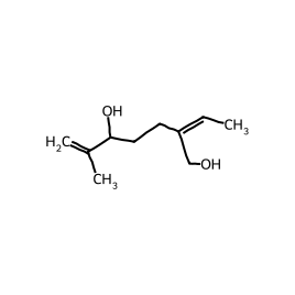 C=C(C)C(O)CCC(=CC)CO